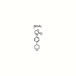 CC(=O)NC[C@H]1CN(c2ccc(C3CCOCC3)cc2)C(=O)O1